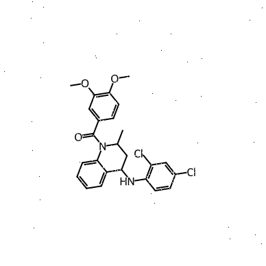 COc1ccc(C(=O)N2c3ccccc3C(Nc3ccc(Cl)cc3Cl)CC2C)cc1OC